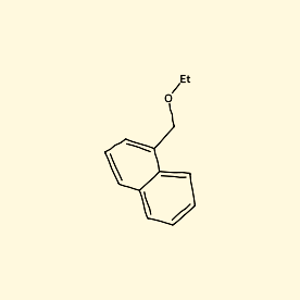 CCOCc1cccc2ccccc12